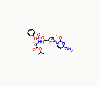 CC(C)OC(=O)[C@H](C)NP(=O)(OCC1C[C@H](C)[C@H](n2ccc(N)nc2=O)O1)Oc1ccccc1